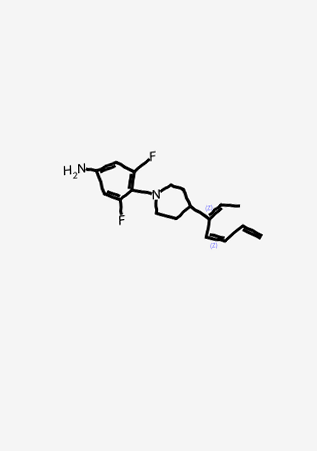 C=C/C=C\C(=C/C)C1CCN(c2c(F)cc(N)cc2F)CC1